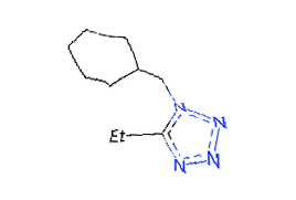 CCc1nnnn1CC1CCCCC1